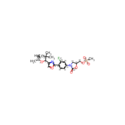 C[SiH](C)OC(c1coc(-c2ccc(N3CC(COS(C)(=O)=O)OC3=O)cc2F)n1)C(C)(C)C